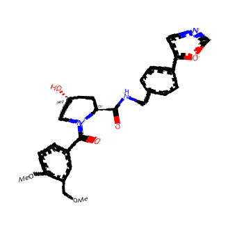 COCc1cc(C(=O)N2C[C@H](O)C[C@H]2C(=O)NCc2ccc(-c3cnco3)cc2)ccc1OC